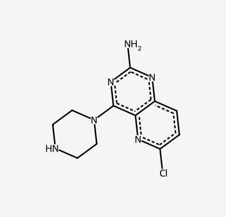 Nc1nc(N2CCNCC2)c2nc(Cl)ccc2n1